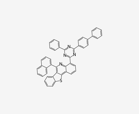 c1ccc(-c2ccc(-c3nc(-c4ccccc4)nc(-c4cccc5c4nc(-c4cccc6ccccc46)c4c6ccccc6sc54)n3)cc2)cc1